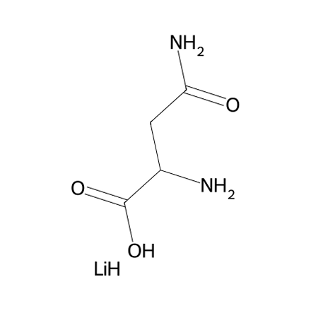 NC(=O)CC(N)C(=O)O.[LiH]